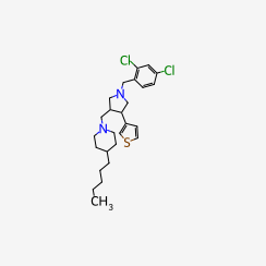 CCCCCC1CCN(CC2CN(Cc3ccc(Cl)cc3Cl)CC2c2ccsc2)CC1